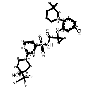 CC1(C)CCCN(c2ccc(Cl)cc2OC2(C(=O)NS(=O)(=O)c3cccc(N4CCC(O)(C(F)(F)F)CC4)n3)CC2)C1